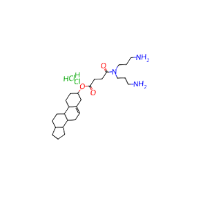 Cl.Cl.NCCCN(CCCN)C(=O)CCC(=O)OC1CCC2C(=CCC3C4CCCC4CCC23)C1